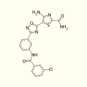 NC(=O)c1nc(N)c(-c2nc(-c3cccc(NC(=O)c4cccc(Cl)c4)c3)no2)s1